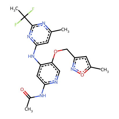 CC(=O)Nc1cc(Nc2cc(C)nc(C(C)(F)F)n2)c(OCc2cc(C)on2)cn1